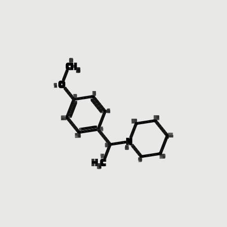 COc1ccc(C(C)N2CC[CH]CC2)cc1